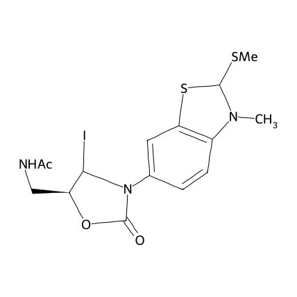 CSC1Sc2cc(N3C(=O)O[C@@H](CNC(C)=O)C3I)ccc2N1C